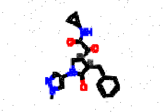 Cn1cc(N2C[C@H](C(=O)C(=O)NC3CC3)[C@@H](Cc3ccccc3)C2=O)cn1